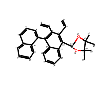 C=Cc1c(C=C)c(-c2cccc3ccccc23)c2ccccc2c1B1OC(C)(C)C(C)(C)O1